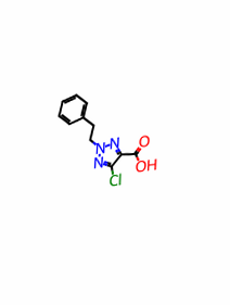 O=C(O)c1nn(CCc2ccccc2)nc1Cl